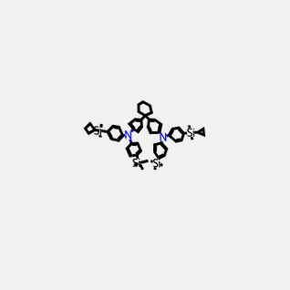 C[Si](C)(C)c1ccc(N(c2ccc(C3(c4ccc(N(c5ccc([Si](C)(C)C)cc5)c5ccc([Si](C)(C)C6CC6)cc5)cc4)CCCCC3)cc2)c2ccc([Si](C)(C)C3CCC3)cc2)cc1